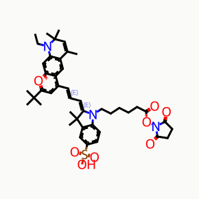 CCN1c2cc3[o+]c(C(C)(C)C)cc(/C=C/C=C4/N(CCCCCC(=O)ON5C(=O)CCC5=O)c5ccc(S(=O)(=O)O)cc5C4(C)C)c3cc2C(C)=CC1(C)C